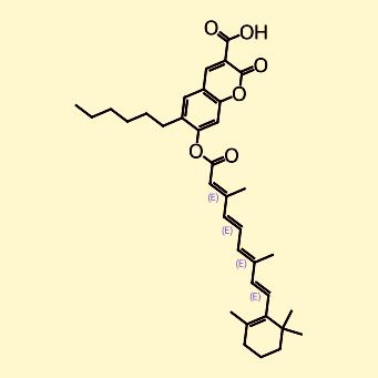 CCCCCCc1cc2cc(C(=O)O)c(=O)oc2cc1OC(=O)/C=C(C)/C=C/C=C(C)/C=C/C1=C(C)CCCC1(C)C